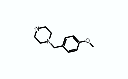 COc1ccc(CN2CC[N]CC2)cc1